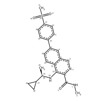 CNC(=O)c1nnc2cc(-c3ccc(S(C)(=O)=O)cc3)ccc2c1N[C@H](C)C1CC1